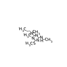 CCC[N+](C)(C)c1nc(NCC)nc(SC)n1